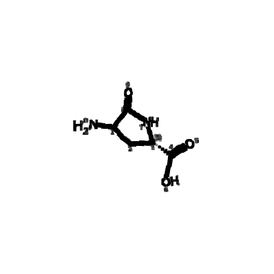 NC1C[C@@H](C(=O)O)NC1=O